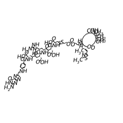 C/C(=C\c1csc(C)n1)[C@@H]1C[C@H]2[C@@H](CCC[C@H](C)[C@H](O)[C@@H](C)C(=O)C(C)(C)[C@@H](O)CC(=O)O1)N2CCOC(=O)OCCSSCC(NC(=O)[C@H](CC(=O)O)CC(=O)[C@H](CCCNC(=N)N)NC(=O)[C@H](CC(=O)O)CC(=O)CC[C@H](NC(=O)c1ccc(NCc2cnc3nc(N)[nH]c(=O)c3n2)cc1)C(=O)O)C(=O)O